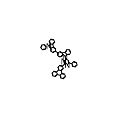 c1ccc(-c2cc(-n3c4ccccc4c4cc(-c5ccc6c(c5)c5ccccc5n6-c5ccccc5)ccc43)nc(-c3ccc4c5ccccc5c5ccccc5c4c3)n2)cc1